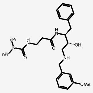 CCCN(CCC)C(=O)NCCC(=O)N[C@@H](Cc1ccccc1)[C@H](O)CNCc1cccc(OC)c1